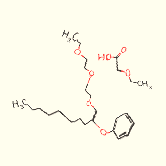 CCCCCCCCC(COCCOCCOCC)Oc1ccccc1.CCOCC(=O)O